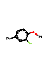 C[C](C)c1ccc(OC(C)C)c(F)c1